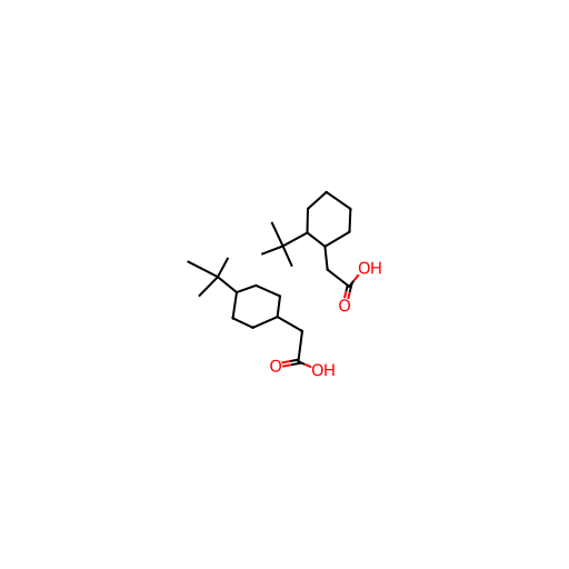 CC(C)(C)C1CCC(CC(=O)O)CC1.CC(C)(C)C1CCCCC1CC(=O)O